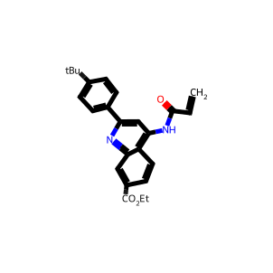 C=CC(=O)Nc1cc(-c2ccc(C(C)(C)C)cc2)nc2cc(C(=O)OCC)ccc12